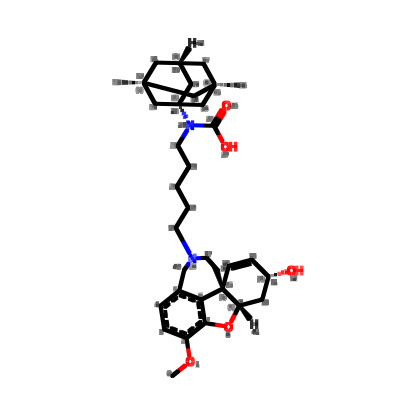 COc1ccc2c3c1O[C@H]1C[C@@H](O)C=C[C@@]31CCN(CCCCCN(C(=O)O)[C@]13C[C@@H]4C[C@@](C)(C[C@@](C)(C4)C1)C3)C2